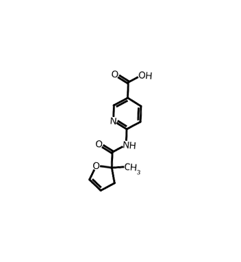 CC1(C(=O)Nc2ccc(C(=O)O)cn2)CC=CO1